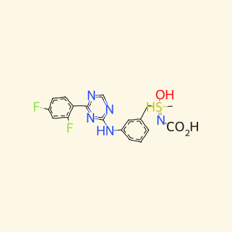 C[SH](O)(Cc1cccc(Nc2ncnc(-c3ccc(F)cc3F)n2)c1)=NC(=O)O